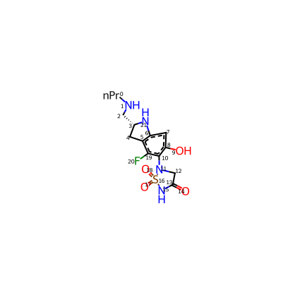 CCCNC[C@H]1Cc2c(cc(O)c(N3CC(=O)NS3(=O)=O)c2F)N1